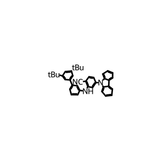 CC(C)(C)c1cc(-c2cccc(Nc3cc(-n4c5ccccc5c5ccccc54)ccc3C#N)c2)cc(C(C)(C)C)c1